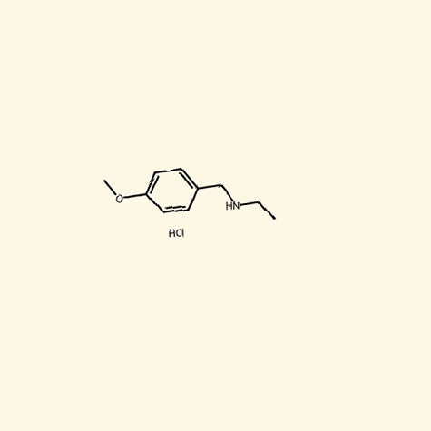 CCNCc1ccc(OC)cc1.Cl